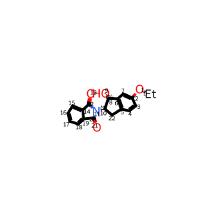 CCOc1ccc2c(c1)[C@@H](O)[C@@H](N1C(=O)c3ccccc3C1=O)C2